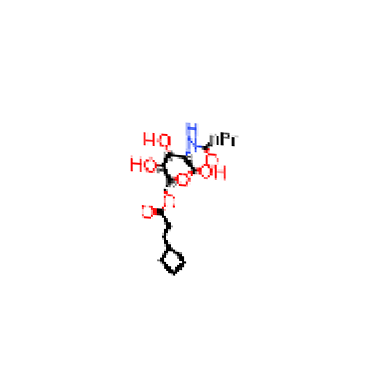 CCCC(=O)N[C@H]1C(O)O[C@H](COC(=O)CCC2CCCC2)[C@@H](O)[C@@H]1O